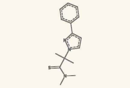 CN(C)C(=S)C(C)(C)n1ccc(-c2ccccc2)n1